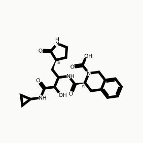 O=C(NC1CC1)C(O)C(C[C@@H]1CCNC1=O)NC(=O)[C@@H]1Cc2ccccc2CN1C(=O)O